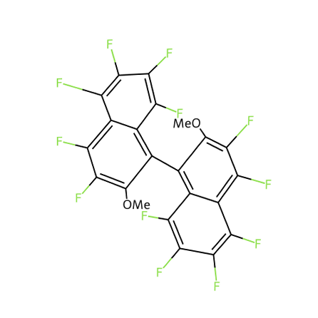 COc1c(F)c(F)c2c(F)c(F)c(F)c(F)c2c1-c1c(OC)c(F)c(F)c2c(F)c(F)c(F)c(F)c12